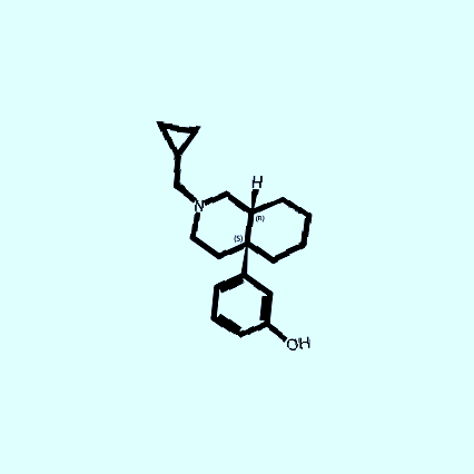 Oc1cccc([C@]23CCCC[C@H]2CN(CC2CC2)CC3)c1